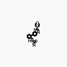 O=[SH](=O)NCc1ccccc1-c1ccc2ncc(N3CCOCC3)nc2c1